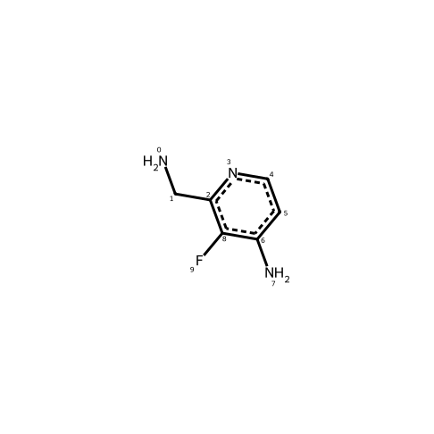 NCc1nccc(N)c1F